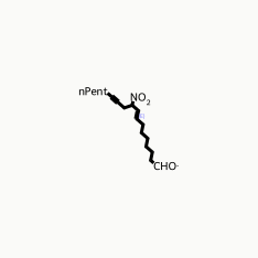 CCCCCC#CCC(/C=C/CCCCCC[C]=O)[N+](=O)[O-]